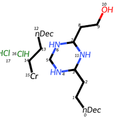 CCCCCCCCCCCCC1NCNC(CCO)N1.CCCCCCCCCCC[CH2][Cr].Cl.Cl